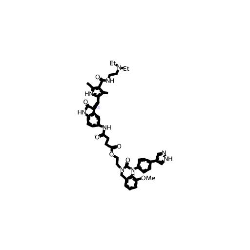 CCN(CC)CCNC(=O)c1c(C)[nH]c(/C=C2\C(=O)Nc3ccc(NC(=O)CCC(=O)OCCN(Cc4cccc(OC)c4)C(=O)Nc4ccc(-c5cn[nH]c5)cc4)cc32)c1C